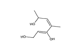 CC(=CC(C)O)C(O)=CCO